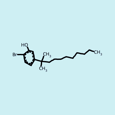 CCCCCCCCCC(C)(C)c1ccc(Br)c(O)c1